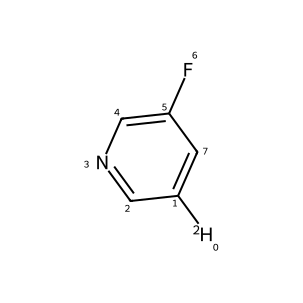 [2H]c1cncc(F)c1